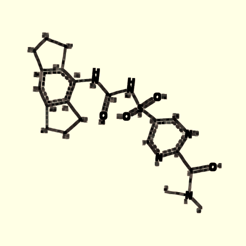 CN(C)C(=O)c1ncc(S(=O)(=O)NC(=O)Nc2c3c(cc4c2CCC4)CCC3)cn1